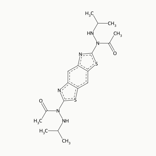 CC(=O)N(NC(C)C)c1nc2cc3nc(N(NC(C)C)C(C)=O)sc3cc2s1